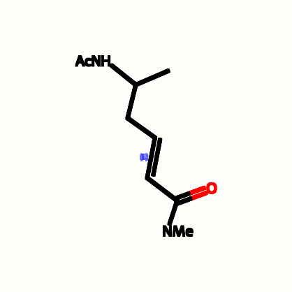 CNC(=O)/C=C/CC(C)NC(C)=O